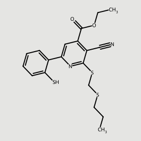 CCCSCSc1nc(-c2ccccc2S)cc(C(=O)OCC)c1C#N